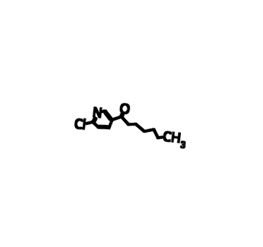 CCCCCCC(=O)c1ccc(Cl)nc1